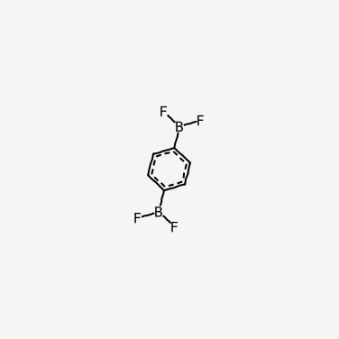 FB(F)c1ccc(B(F)F)cc1